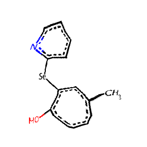 Cc1ccc(O)c([Se]c2ccccn2)c1